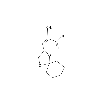 CC(=CC1COC2(CCCCC2)O1)C(=O)O